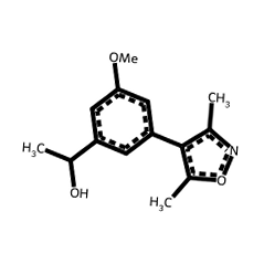 COc1cc(-c2c(C)noc2C)cc(C(C)O)c1